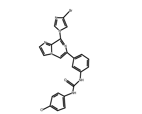 O=C(Nc1ccc(Cl)cc1)Nc1cccc(-c2cn3ccnc3c(-n3cnc(Br)c3)n2)c1